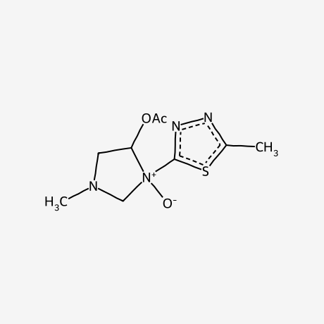 CC(=O)OC1CN(C)C[N+]1([O-])c1nnc(C)s1